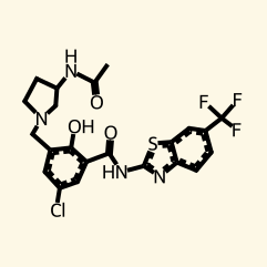 CC(=O)NC1CCN(Cc2cc(Cl)cc(C(=O)Nc3nc4ccc(C(F)(F)F)cc4s3)c2O)C1